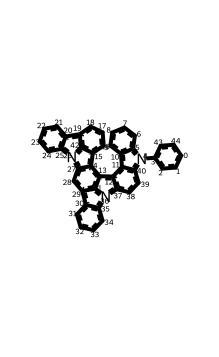 c1ccc(-n2c3ccccc3c3c4c5c6c7cccc8c9ccccc9n(c6cc6c9ccccc9n(c4ccc32)c65)c87)cc1